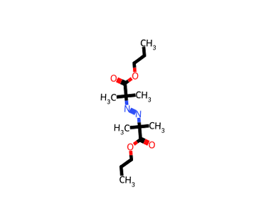 CCCOC(=O)C(C)(C)N=NC(C)(C)C(=O)OCCC